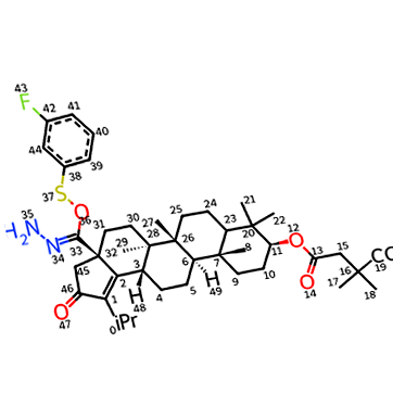 CC(C)C1=C2[C@H]3CC[C@@H]4[C@@]5(C)CC[C@H](OC(=O)CC(C)(C)C(=O)O)C(C)(C)C5CC[C@@]4(C)[C@]3(C)CC[C@@]2(/C(=N/N)OSc2cccc(F)c2)CC1=O